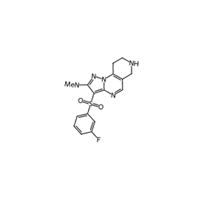 CNc1nn2c3c(cnc2c1S(=O)(=O)c1cccc(F)c1)CNCC3